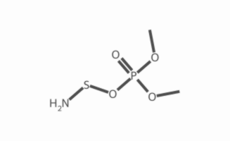 COP(=O)(OC)OSN